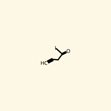 C#CCC(=O)I